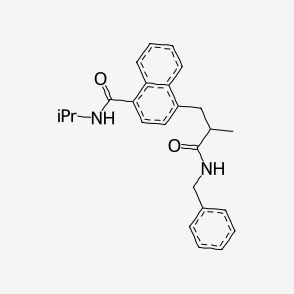 CC(C)NC(=O)c1ccc(CC(C)C(=O)NCc2ccccc2)c2ccccc12